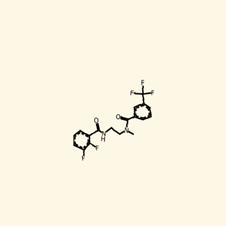 CN(CCNC(=O)c1cccc(F)c1F)C(=O)c1cccc(C(F)(F)F)c1